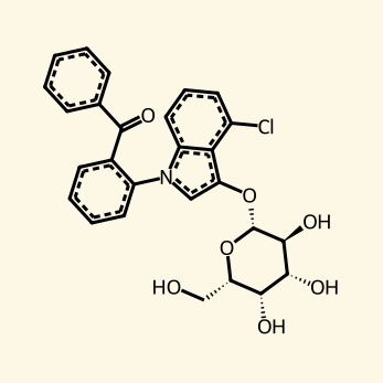 O=C(c1ccccc1)c1ccccc1-n1cc(O[C@H]2O[C@@H](CO)[C@@H](O)[C@@H](O)[C@@H]2O)c2c(Cl)cccc21